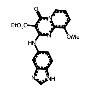 CCOC(=O)c1c(Nc2ccc3[nH]cnc3c2)nc2c(OC)cccn2c1=O